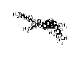 CC[C@H](CC[C@@H](C)[C@H]1CC[C@H]2[C@@H]3CC=C4C[C@@H](OC(=O)N(CCCN)CCCCNCCCN)CC[C@]4(C)[C@H]3CC[C@]12C)C(C)C